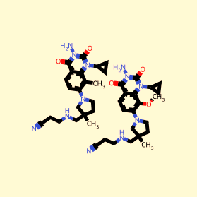 COc1c(N2CCC(C)(CNCCC#N)C2)ccc2c(=O)n(N)c(=O)n(C3CC3)c12.Cc1c(N2CCC(C)(CNCCC#N)C2)ccc2c(=O)n(N)c(=O)n(C3CC3)c12